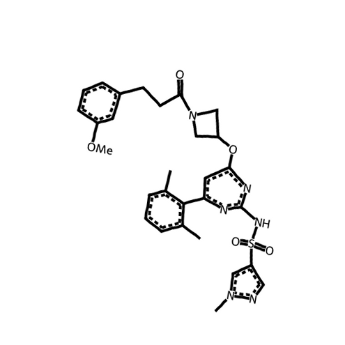 COc1cccc(CCC(=O)N2CC(Oc3cc(-c4c(C)cccc4C)nc(NS(=O)(=O)c4cnn(C)c4)n3)C2)c1